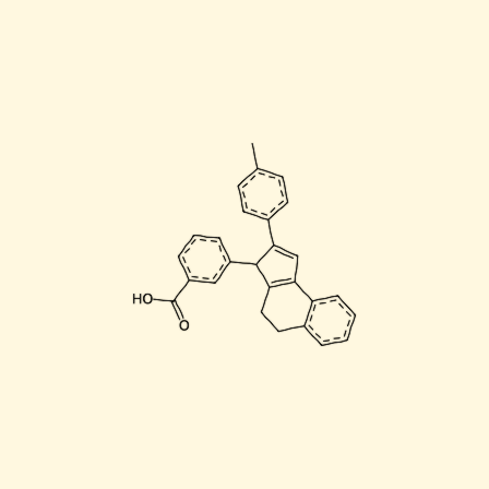 Cc1ccc(C2=CC3=C(CCc4ccccc43)C2c2cccc(C(=O)O)c2)cc1